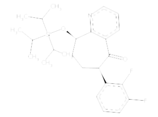 CC(C)[Si](O[C@@H]1CC[C@H](c2cccc(F)c2F)C(=O)c2cccnc21)(C(C)C)C(C)C